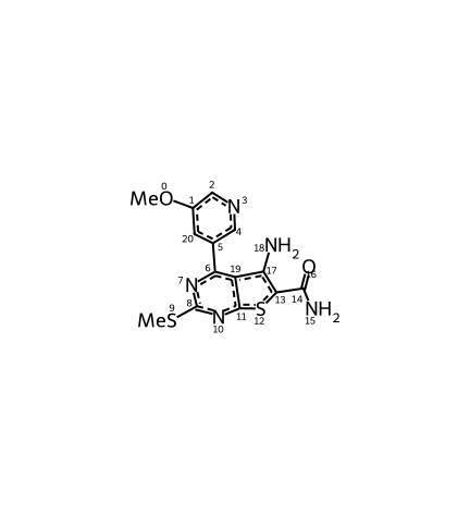 COc1cncc(-c2nc(SC)nc3sc(C(N)=O)c(N)c23)c1